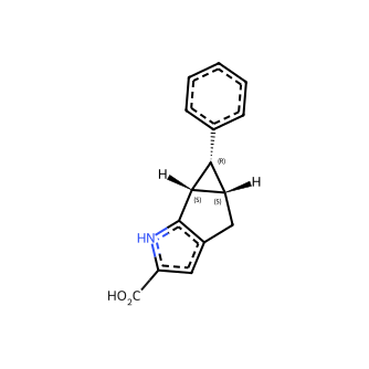 O=C(O)c1cc2c([nH]1)[C@H]1[C@@H](C2)[C@H]1c1ccccc1